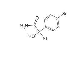 CCC(O)(C(N)=O)c1ccc(Br)cc1